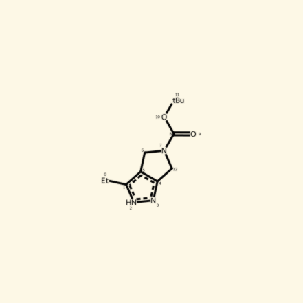 CCc1[nH]nc2c1CN(C(=O)OC(C)(C)C)C2